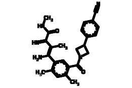 CNC(=O)C(=N)/C(C)=C(\N)c1cc(C(=O)N2CC(c3ccc(C#N)cc3)C2)c(C)cc1C